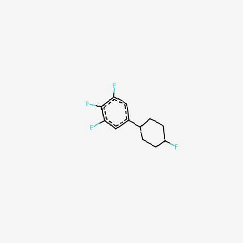 Fc1cc(C2CCC(F)CC2)cc(F)c1F